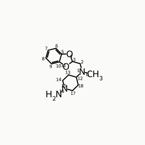 CN(CC1Oc2ccccc2O1)C1CCN(N)CC1